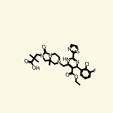 CCOC(=O)C1=C(CN2CCN3C(=O)N(CC(C)(C)C(=O)O)CC3(C)C2)NC(c2nccs2)=NC1c1cccc(F)c1Cl